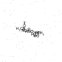 Cc1nc2ccc(C(=O)Nc3ccc(CC(=O)NC(C)(C)CO)cc3)cc2n1C1=CC=C(F)CC1